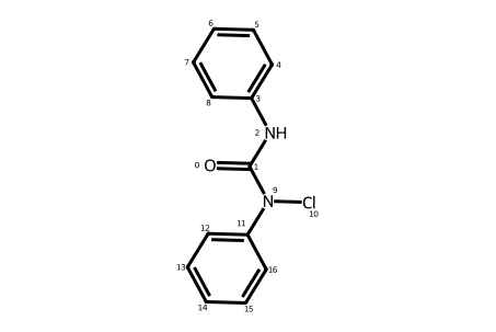 O=C(Nc1ccccc1)N(Cl)c1ccccc1